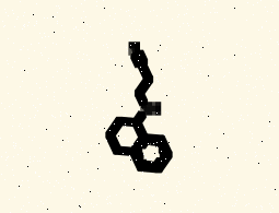 N#CCCNC1CCCc2ccccc21